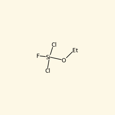 CCO[Si](F)(Cl)Cl